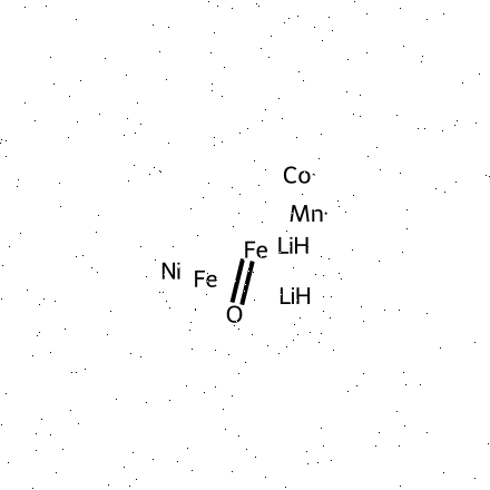 [Co].[Fe].[LiH].[LiH].[Mn].[Ni].[O]=[Fe]